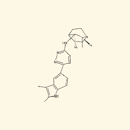 Cc1[nH]c2ccc(-c3ccc(N[C@H]4C5CCN(CC5)[C@@H]4C)nn3)cc2c1C